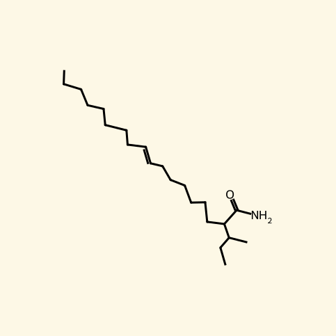 CCCCCCCC/C=C/CCCCCCC(C(N)=O)C(C)CC